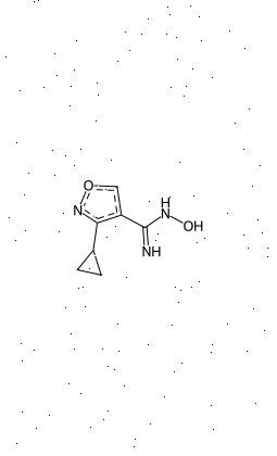 N=C(NO)c1conc1C1CC1